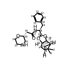 CC1(C)[C@@H]2C[C@H]3OB([C@H](Cc4ccccc4)NC(=O)C[C@@H]4CNCCO4)O[C@@]3(C)[C@H]1C2